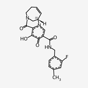 Cc1ccc(CNC(=O)c2cn3c(c(O)c2=O)C(=O)N2CCC=C[C@H]3C2)c(F)c1